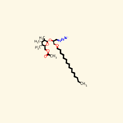 CCCCCCCCCCCCCCCCOC[C@H](CN=[N+]=[N-])O[C@@H]1OC(COC(C)=O)[C@@H](C)[C@H](C)C1C